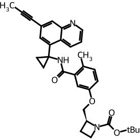 CC#Cc1cc(C2(NC(=O)c3cc(OC[C@@H]4CCN4C(=O)OC(C)(C)C)ccc3C)CC2)c2cccnc2c1